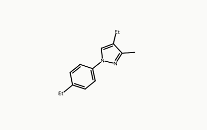 CCc1ccc(-n2cc(CC)c(C)n2)cc1